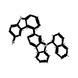 Brc1ccc2oc3cccc(-c4ccc5c6ccccc6n(-c6cccc7ccccc67)c5c4)c3c2c1